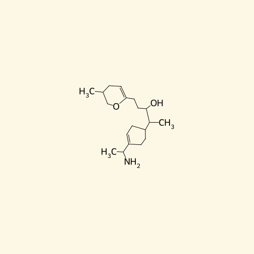 CC1CC=C(CCC(O)C(C)C2CC=C(C(C)N)CC2)OC1